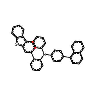 c1ccc(N(c2ccc(-c3cccc4ccccc34)cc2)c2ccccc2-c2ccc3c(c2)sc2ccccc23)cc1